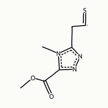 COC(=O)c1nnc(C[C]=S)n1C